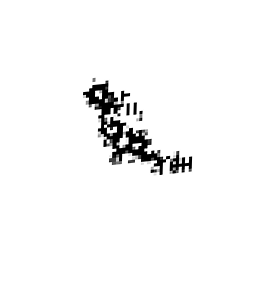 Cc1[nH]c2ccccc2c1CN1CCC2(CC1)CC(=O)c1cc(/C=C/C(=O)NO)ccc1O2